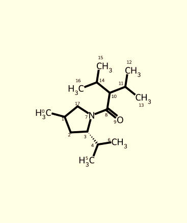 CC1C[C@@H](C(C)C)N(C(=O)C(C(C)C)C(C)C)C1